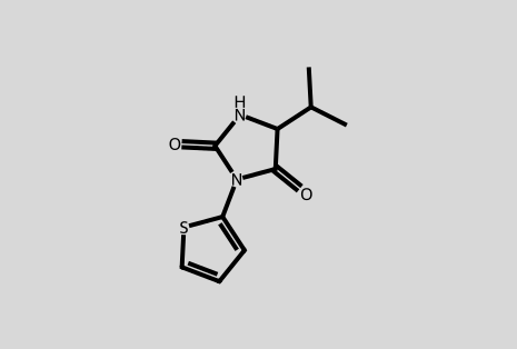 CC(C)C1NC(=O)N(c2cccs2)C1=O